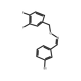 CCc1cccc(/[C]=N\OCc2ccc(F)c(F)c2)c1